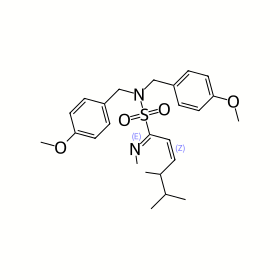 C/N=C(\C=C/C(C)C(C)C)S(=O)(=O)N(Cc1ccc(OC)cc1)Cc1ccc(OC)cc1